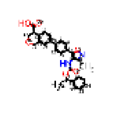 Cc1noc(-c2ccc(-c3ccc4c(c3)COCC4C(=O)O)cc2)c1NC(=O)OC(C)c1ccccc1